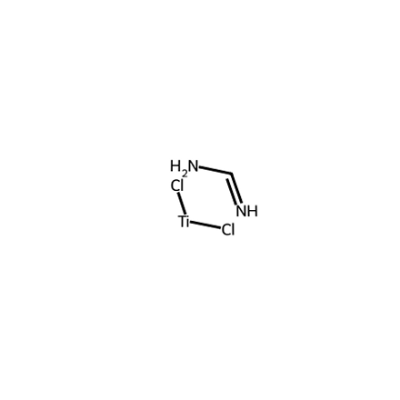 N=CN.[Cl][Ti][Cl]